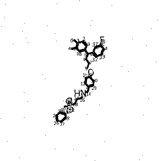 Cc1ccc(C(CCCOc2ccc(CNCCCP(C)(=O)Oc3ccccc3)cc2)c2cccc(F)c2)cc1C